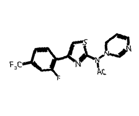 CC(=O)N(c1nc(-c2ccc(C(F)(F)F)cc2F)cs1)N1C=NC=CC1